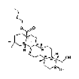 CCCCOC(=O)[C@]12CCC(C)(C)C[C@H]1C1=CCC3[C@@]4(C)CC[C@H](O)[C@@](C)(CO)[C@@H]4CC[C@@]3(C)[C@]1(C)CC2